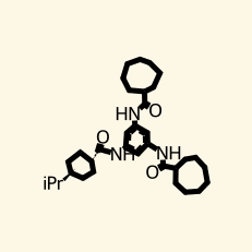 CC(C)[C@H]1CC[C@H](C(=O)Nc2cc(NC(=O)C3CCCCCCC3)cc(NC(=O)C3CCCCCCC3)c2)CC1